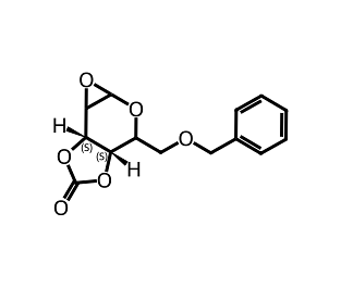 O=C1O[C@@H]2C3OC3OC(COCc3ccccc3)[C@@H]2O1